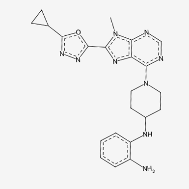 Cn1c(-c2nnc(C3CC3)o2)nc2c(N3CCC(Nc4ccccc4N)CC3)ncnc21